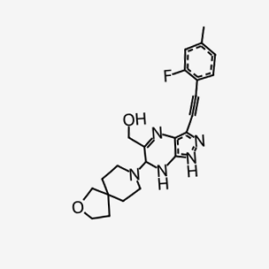 Cc1ccc(C#Cc2n[nH]c3c2N=C(CO)C(N2CCC4(CCOC4)CC2)N3)c(F)c1